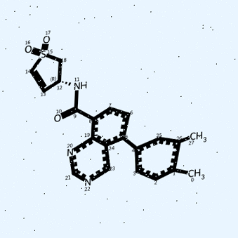 Cc1ccc(-c2ccc(C(=O)N[C@@H]3C=CS(=O)(=O)C3)c3ncncc23)cc1C